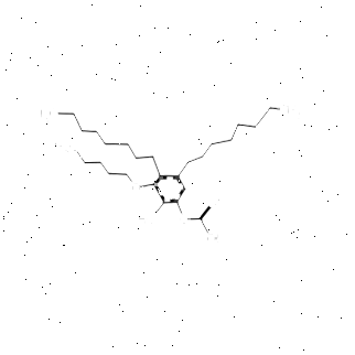 CCCCCCCCc1cc(OC(=O)O)c(O)c(OCCCCC)c1CCCCCCCC